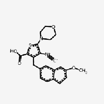 [C-]#[N+]c1c(N2CCOCC2)sc(C(=O)O)c1Cc1ccc2ccc(OC)cc2c1